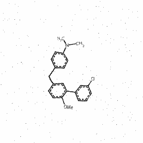 COc1ccc(Cc2ccc(N(C)C)cc2)cc1-c1cccc(Cl)c1